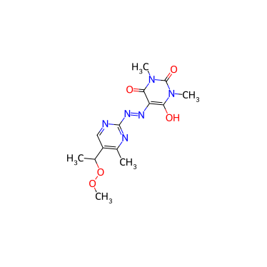 COOC(C)c1cnc(N=Nc2c(O)n(C)c(=O)n(C)c2=O)nc1C